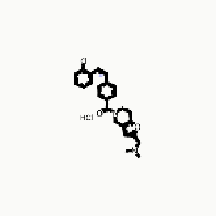 CN(C)Cc1cc2c(o1)CCN(C(=O)c1ccc(/C=C\c3ccccc3Cl)cc1)C2.Cl